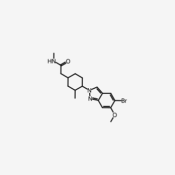 CNC(=O)CC1CCC(n2cc3cc(Br)c(OC)cc3n2)C(C)C1